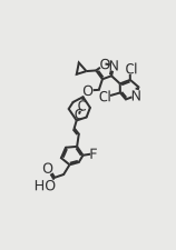 O=C(O)Cc1ccc(/C=C/C23CCC(OCc4c(-c5c(Cl)cncc5Cl)noc4C4CC4)(CC2)CC3)c(F)c1